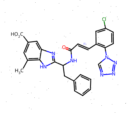 Cc1cc(C(=O)O)cc2nc(C(Cc3ccccc3)NC(=O)/C=C/c3cc(Cl)ccc3-n3cnnn3)[nH]c12